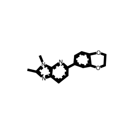 Cc1nc2ccc(-c3ccc4c(c3)OCCO4)nc2n1C